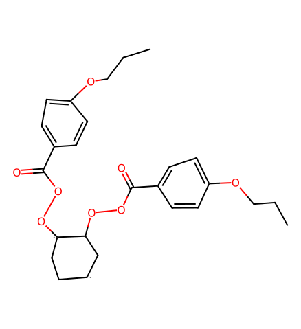 CCCOc1ccc(C(=O)OO[C]2CC[CH]CC2OOC(=O)c2ccc(OCCC)cc2)cc1